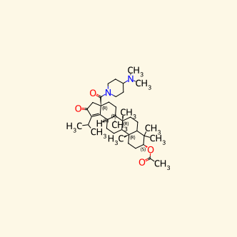 CC(=O)O[C@H]1CC[C@@]2(C)C(CC[C@]3(C)C2CC[C@@H]2C4=C(C(C)C)C(=O)C[C@]4(C(=O)N4CCC(N(C)C)CC4)CC[C@]23C)C1(C)C